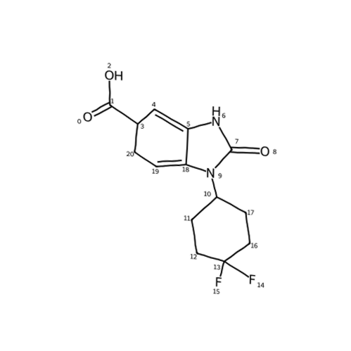 O=C(O)C1C=c2[nH]c(=O)n(C3CCC(F)(F)CC3)c2=CC1